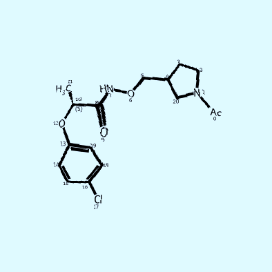 CC(=O)N1CCC(CONC(=O)[C@H](C)Oc2ccc(Cl)cc2)C1